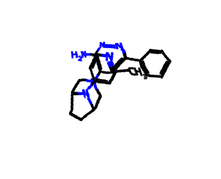 Cc1cc(N2C3CCC2CN(c2cc(-c4ccccc4)nnc2N)C3)ccn1